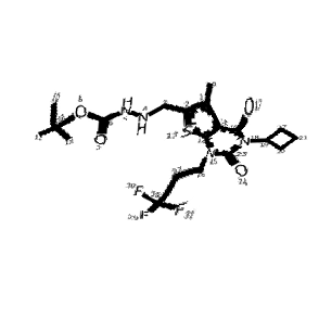 Cc1c(CNNC(=O)OC(C)(C)C)sc2c1c(=O)n(C1CCC1)c(=O)n2CCC(F)(F)F